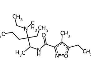 CCCC(CC)(C(C)NC(=O)c1noc(CC)c1C)N(C)CC